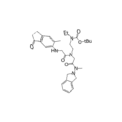 CCN(CCN(CC(=O)N(C)N1Cc2ccccc2C1)C(=O)CNc1cc2c(cc1C)CCC2=O)C(=O)OC(C)(C)C